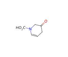 O=C1CC=CN(C(=O)O)C1